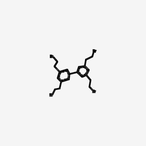 BrCCc1cc(CCBr)cc(-c2cc(CCBr)cc(CCBr)c2)c1